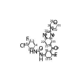 O=C(Nc1ccc(F)c(Cl)c1)Nc1ccc(F)c(C(=O)c2ccc3ncc(N4CCOCC4)nc3c2)c1